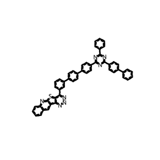 c1ccc(-c2ccc(-c3nc(-c4ccccc4)nc(-c4ccc(-c5ccc(-c6cccc(-c7nnnc8c7sc7nc9ccccc9cc78)c6)cc5)cc4)n3)cc2)cc1